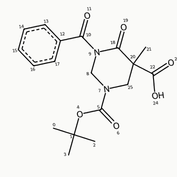 CC(C)(C)OC(=O)N1CN(C(=O)c2ccccc2)C(=O)C(C)(C(=O)O)C1